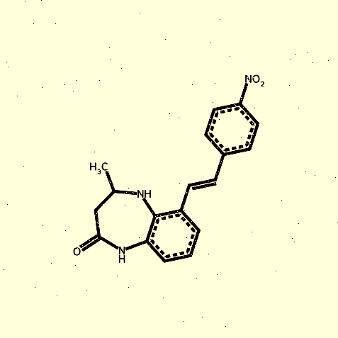 CC1CC(=O)Nc2cccc(C=Cc3ccc([N+](=O)[O-])cc3)c2N1